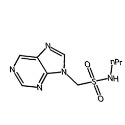 CCCNS(=O)(=O)Cn1cnc2cncnc21